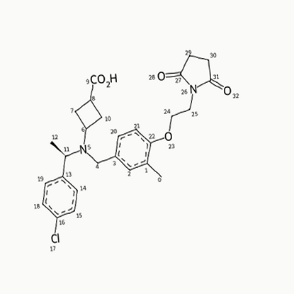 Cc1cc(CN(C2CC(C(=O)O)C2)[C@H](C)c2ccc(Cl)cc2)ccc1OCCN1C(=O)CCC1=O